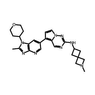 Cc1nc2ncc(-c3ccn4nc(NC5CC6(C5)CN(C)C6)ncc34)cc2n1C1CCOCC1